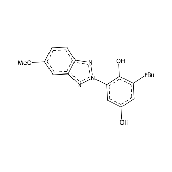 COc1ccc2nn(-c3cc(O)cc(C(C)(C)C)c3O)nc2c1